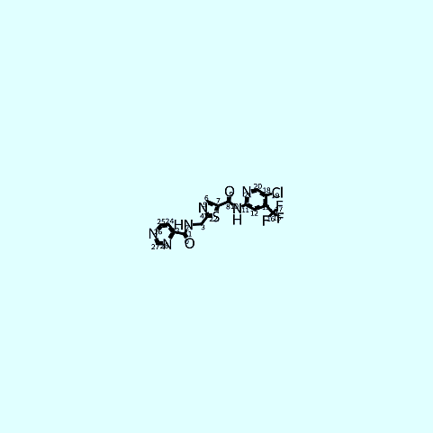 O=C(NCc1ncc(C(=O)Nc2cc(C(F)(F)F)c(Cl)cn2)s1)c1ccncn1